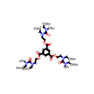 CCCCN(COC)C(=O)N(CCOC(=O)c1cc(C(=O)OCCN(COC)C(=O)N(CCC)COC)cc(C(=O)OCCN(COC)C(=O)N(CCC)COC)c1)COC